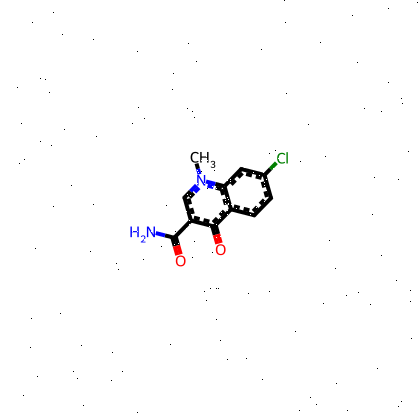 Cn1cc(C(N)=O)c(=O)c2ccc(Cl)cc21